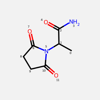 CC(C(N)=O)N1C(=O)CCC1=O